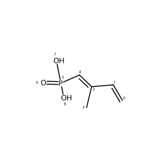 C=C/C(C)=C/P(=O)(O)O